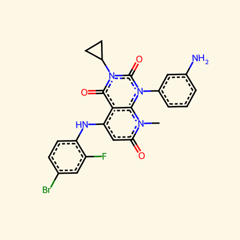 Cn1c(=O)cc(Nc2ccc(Br)cc2F)c2c(=O)n(C3CC3)c(=O)n(-c3cccc(N)c3)c21